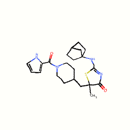 CC1(CC2CCN(C(=O)c3ccc[nH]3)CC2)SC(NC23CCC(CC2)C3)=NC1=O